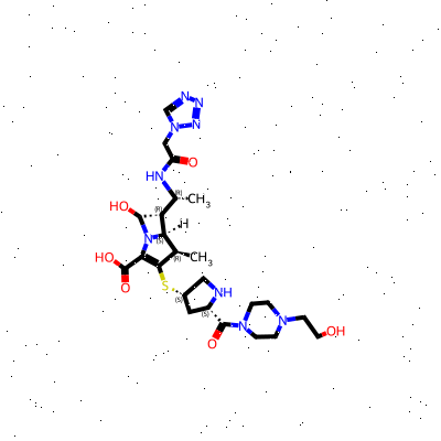 C[C@@H](NC(=O)Cn1cnnn1)[C@H]1C(O)N2C(C(=O)O)=C(S[C@@H]3CN[C@H](C(=O)N4CCN(CCO)CC4)C3)[C@H](C)[C@H]12